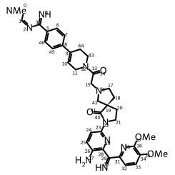 CN/C=N\C(=N)c1ccc(C2=CCN(C(=O)CN3CC[C@]4(CCN(c5ccc(N)c(C(=N)c6ccc(OC)c(OC)n6)n5)C4=O)C3)CC2)cc1